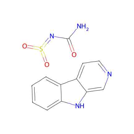 NC(=O)N=S(=O)=O.c1ccc2c(c1)[nH]c1cnccc12